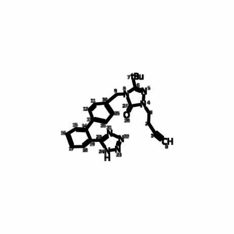 C#CCCn1nc(C(C)(C)C)n(Cc2ccc(-c3ccccc3-c3nnn[nH]3)cc2)c1=O